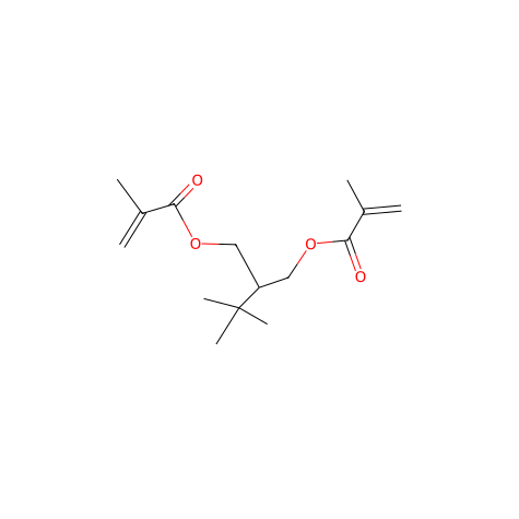 C=C(C)C(=O)OCC(COC(=O)C(=C)C)C(C)(C)C